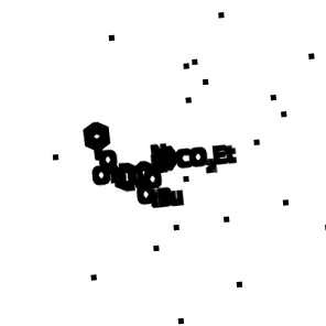 CCOC(=O)c1cnn(CC[C@@H]2CN(C(=O)OCc3ccccc3)CCN2C(=O)OC(C)(C)C)c1